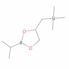 CC(C)B1OCC(C[Si](C)(C)C)O1